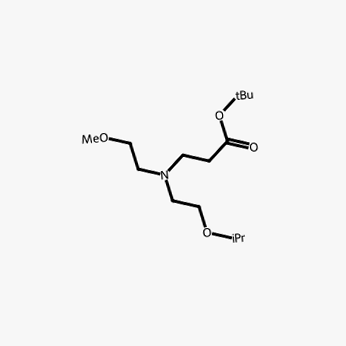 COCCN(CCOC(C)C)CCC(=O)OC(C)(C)C